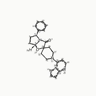 O=C1N2[C@@H](CC[C@H]2c2ccccc2)OC12CCN(c1ccnc3ccnn13)CC2